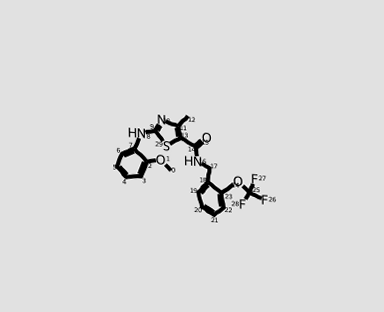 COc1ccccc1Nc1nc(C)c(C(=O)NCc2ccccc2OC(F)(F)F)s1